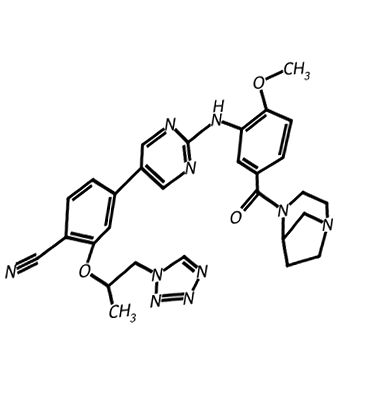 COc1ccc(C(=O)N2CCN3CCC2C3)cc1Nc1ncc(-c2ccc(C#N)c(OC(C)Cn3cnnn3)c2)cn1